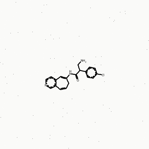 NCC(C(=O)NC1=Cc2ccncc2C=CC1)c1ccc(Cl)cc1